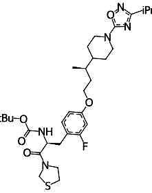 CC(C)c1noc(N2CCC([C@H](C)CCOc3ccc(C[C@H](NC(=O)OC(C)(C)C)C(=O)N4CCSC4)c(F)c3)CC2)n1